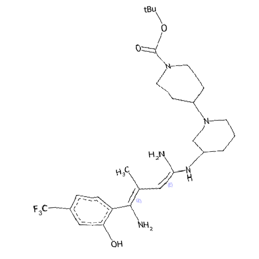 CC(/C=C(\N)NC1CCCN(C2CCN(C(=O)OC(C)(C)C)CC2)C1)=C(/N)c1ccc(C(F)(F)F)cc1O